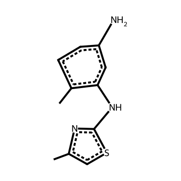 Cc1csc(Nc2cc(N)ccc2C)n1